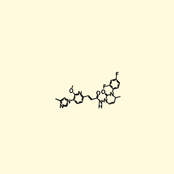 COc1nc(C=CC(=O)NN2C=CC(C)N(c3ccc(F)cc3F)C2=O)ccc1-n1cnc(C)c1